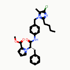 CCCCc1nc(Cl)c(C)n1Cc1ccc(NC(=O)[C@H](Cc2ccccc2)n2cccc2C(=O)OC)cc1